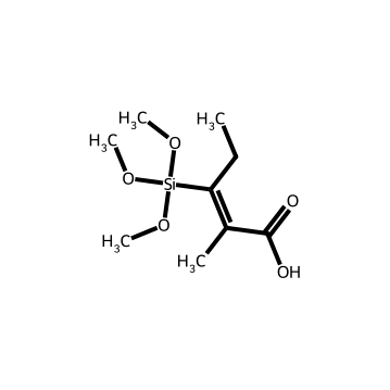 CCC(=C(C)C(=O)O)[Si](OC)(OC)OC